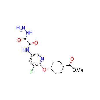 COC(=O)[C@H]1CC[C@H](Oc2ncc(NC(=O)C(=O)NN)cc2F)CC1